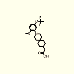 CSc1ccc(OC(C)(F)F)cc1N1CCC2(CCC(CC(=O)O)CC2)CC1